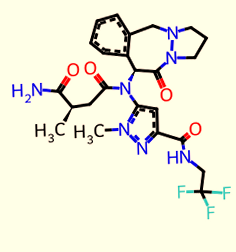 C[C@H](CC(=O)N(c1cc(C(=O)NCC(F)(F)F)nn1C)[C@@H]1C(=O)N2CCCN2Cc2ccccc21)C(N)=O